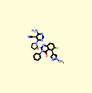 Cn1cc(-c2c(F)ccc3nc([C@@H]4CCCN4c4ncnc(N)c4C#N)n(-c4ccccc4)c(=O)c23)cn1